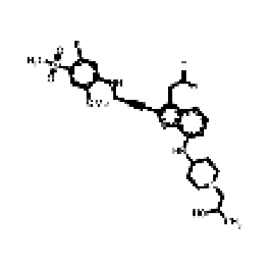 COc1cc(S(C)(=O)=O)c(F)cc1NCC#Cc1sc2c(NC3CCN(CC(C)O)CC3)cccc2c1CC(F)F